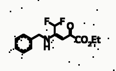 CCOC(=O)C(=O)/C=C(/NCc1ccccc1)C(F)F